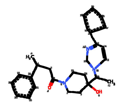 CC(CC(=O)N1CCC(O)(C(C)N2C=CC(c3ccccc3)=NC2)CC1)c1ccccc1